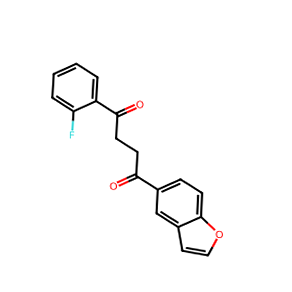 O=C(CCC(=O)c1ccccc1F)c1ccc2occc2c1